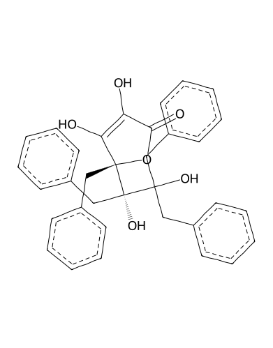 O=C1O[C@](Cc2ccccc2)([C@](O)(Cc2ccccc2)C(O)(Cc2ccccc2)Cc2ccccc2)C(O)=C1O